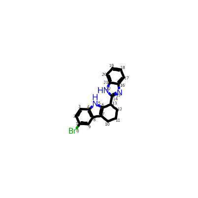 Brc1ccc2[nH]c3c(c2c1)CCCC3c1nc2ccccc2[nH]1